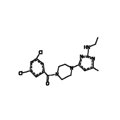 CCNc1nc(C)cc(N2CCN(C(=O)c3cc(Cl)cc(Cl)c3)CC2)n1